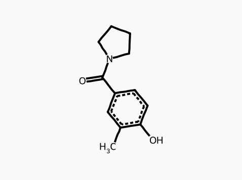 Cc1cc(C(=O)N2CCCC2)ccc1O